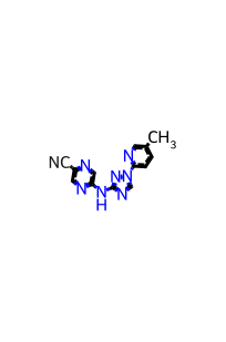 Cc1ccc(-n2cnc(Nc3cnc(C#N)cn3)n2)nc1